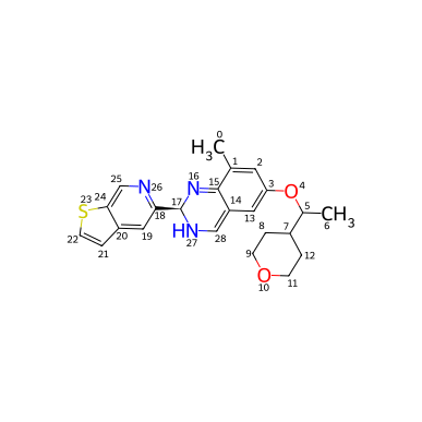 Cc1cc(OC(C)C2CCOCC2)cc2c1=N[C@H](c1cc3ccsc3cn1)NC=2